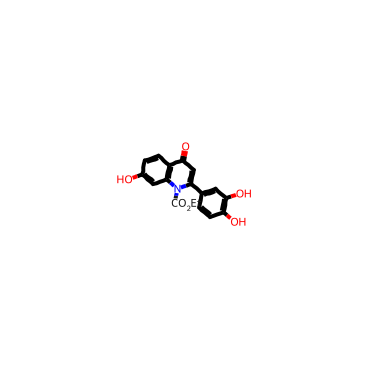 CCOC(=O)n1c(-c2ccc(O)c(O)c2)cc(=O)c2ccc(O)cc21